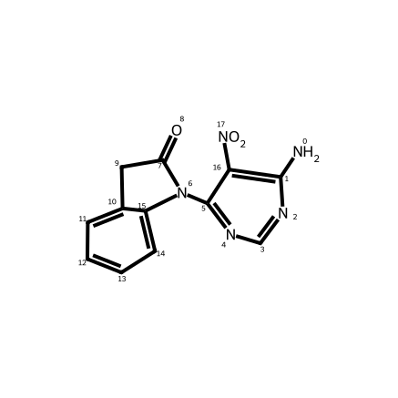 Nc1ncnc(N2C(=O)Cc3ccccc32)c1[N+](=O)[O-]